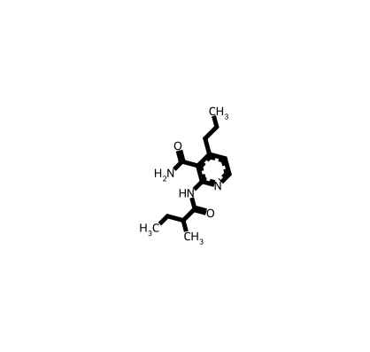 CCCc1ccnc(NC(=O)C(C)CC)c1C(N)=O